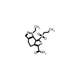 CCCS(=O)(=O)c1sc(C(N)=O)c2c1-c1c(cnn1CC)CC2